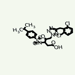 CC(C)c1ccc(S(=O)(=O)NC(CC(=O)O)C(=O)Cn2nnc(Cc3c(Cl)cccc3Cl)n2)cc1